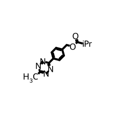 Cc1nnc(-c2ccc(COC(=O)C(C)C)cc2)nn1